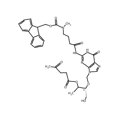 CC(=O)CCC(=O)OC(C)[C@@H](CO)OCn1cnc2c(=O)[nH]c(NC(=O)CCCN(C)C(=O)OCC3c4ccccc4-c4ccccc43)nc21